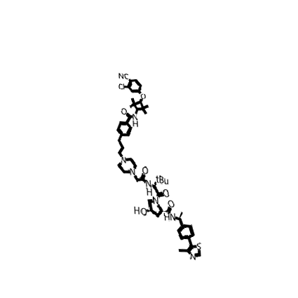 Cc1ncsc1-c1ccc([C@H](C)NC(=O)[C@@H]2C[C@@H](O)CN2C(=O)[C@@H](NC(=O)CN2CCN(CCCc3ccc(C(=O)NC4C(C)(C)C(Oc5ccc(C#N)c(Cl)c5)C4(C)C)cc3)CC2)C(C)(C)C)cc1